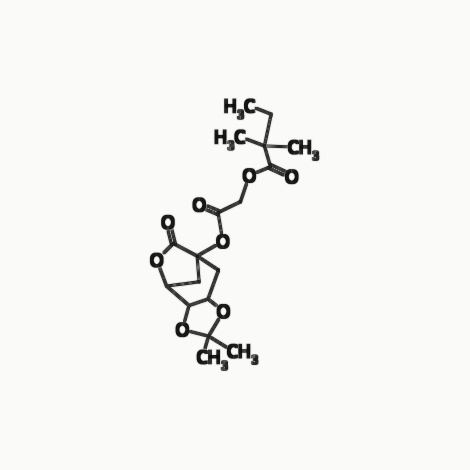 CCC(C)(C)C(=O)OCC(=O)OC12CC(OC1=O)C1OC(C)(C)OC1C2